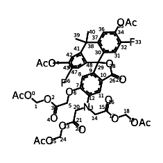 CC(=O)OCOC(=O)COc1cc2c(cc1N(CC(=O)OCOC(C)=O)CC(=O)OCOC(C)=O)C(=O)OC21c2cc(F)c(OC(C)=O)cc2C(C)(C)c2cc(OC(C)=O)c(F)cc21